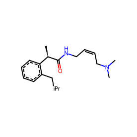 CC(C)Cc1ccccc1[C@@H](C)C(=O)NC/C=C\CN(C)C